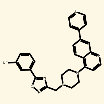 N#Cc1cccc(-c2nc(CN3CCN(c4ccnc5cc(-c6ccncc6)ccc45)CC3)no2)c1